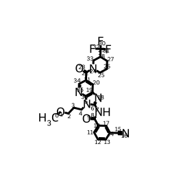 COCCCn1c(NC(=O)c2cccc(C#N)c2)nc2cc(C(=O)N3CCCC(C(F)(F)F)C3)cnc21